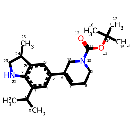 CC(C)c1cc(C2=CCCN(C(=O)OC(C)(C)C)C2)cc2c1NCC2C